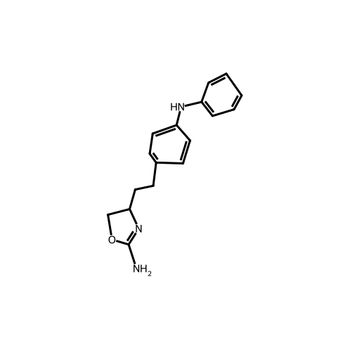 NC1=NC(CCc2ccc(Nc3ccccc3)cc2)CO1